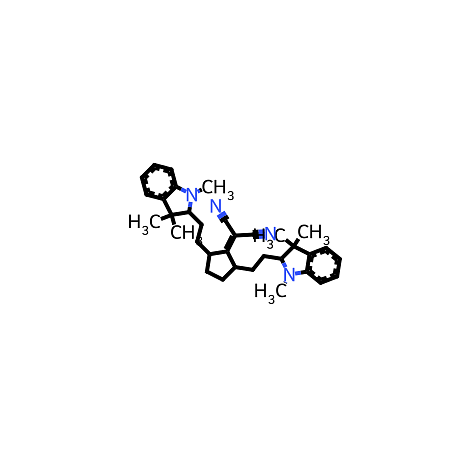 CN1c2ccccc2C(C)(C)C1CCC1CCC(CCC2N(C)c3ccccc3C2(C)C)C1=C(C#N)C#N